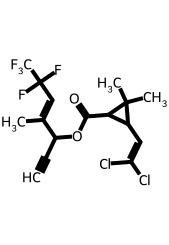 C#CC(OC(=O)C1C(C=C(Cl)Cl)C1(C)C)C(C)=CC(F)(F)C(F)(F)F